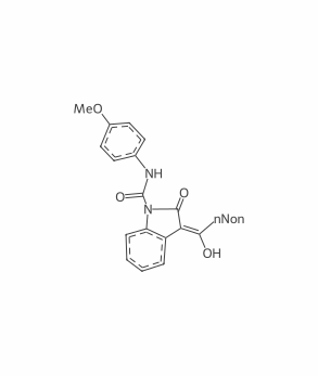 CCCCCCCCCC(O)=C1C(=O)N(C(=O)Nc2ccc(OC)cc2)c2ccccc21